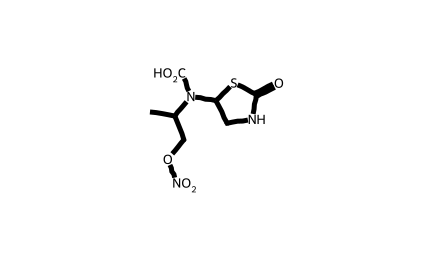 CC(CO[N+](=O)[O-])N(C(=O)O)C1CNC(=O)S1